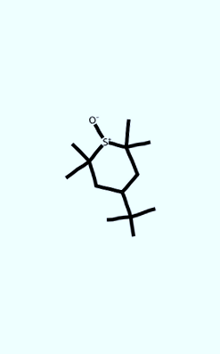 CC(C)(C)C1CC(C)(C)[S+]([O-])C(C)(C)C1